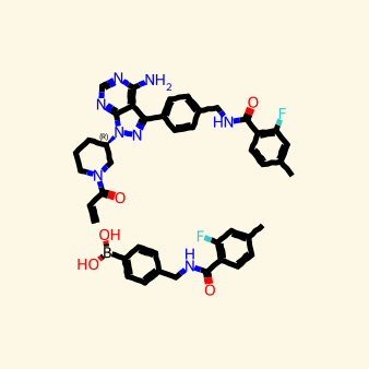 C=CC(=O)N1CCC[C@@H](n2nc(-c3ccc(CNC(=O)c4ccc(C)cc4F)cc3)c3c(N)ncnc32)C1.Cc1ccc(C(=O)NCc2ccc(B(O)O)cc2)c(F)c1